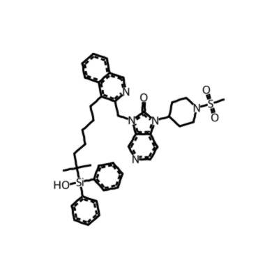 CC(C)(CCCCCc1c(Cn2c(=O)n(C3CCN(S(C)(=O)=O)CC3)c3ccncc32)ncc2ccccc12)[Si](O)(c1ccccc1)c1ccccc1